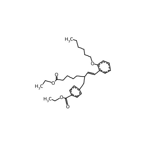 CCCCCCOc1ccccc1/C=C/C(CCCCC(=O)OCC)Cc1ccc(C(=O)OCC)cc1